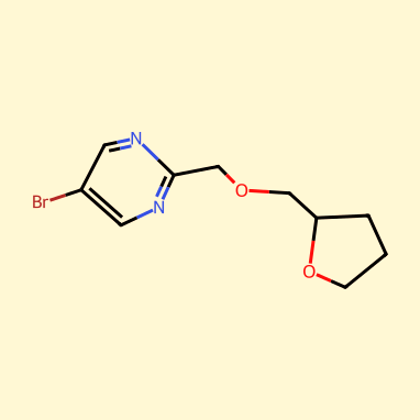 Brc1cnc(COCC2CCCO2)nc1